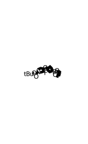 CC(C)(C)OC(=O)N1CC[C@H](Oc2ccc(B3OC(C)(C)C(C)(C)O3)cc2)[C@@H](F)C1